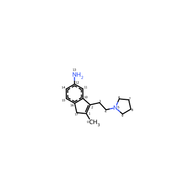 CC1=C(CCN2CCCC2)c2cc(N)ccc2C1